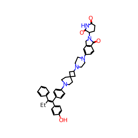 CCC(=C(c1ccc(O)cc1)c1ccc(N2CCC3(CC2)CC(N2CCN(c4ccc5c(c4)CN(C4CCC(=O)NC4=O)C5=O)CC2)C3)cc1)c1ccccc1